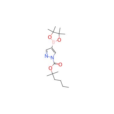 CCCCC(C)(C)OC(=O)n1cc(B2OC(C)(C)C(C)(C)O2)cn1